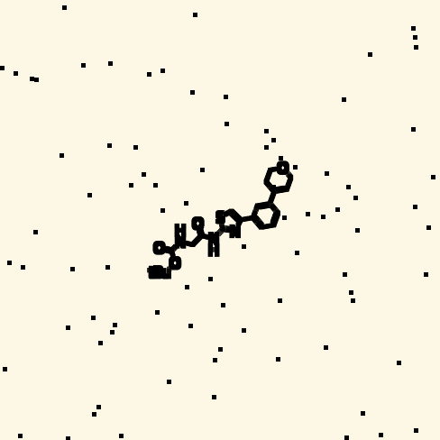 CC(C)(C)OC(=O)NCC(=O)Nc1nc(-c2cccc(C3=CCOCC3)c2)cs1